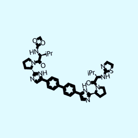 CC(C)[C@H](NC1=NCCS1)C(=O)N1CCC[C@H]1c1ncc(-c2ccc(-c3ccc(-c4cnc([C@@H]5CCCN5C(=O)[C@@H](NC5OCO5)C(C)C)[nH]4)cc3)cc2)[nH]1